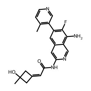 Cc1ccncc1-c1cc2cc(NC(=O)C=C3CC(C)(O)C3)ncc2c(N)c1F